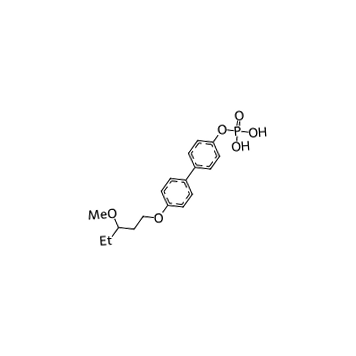 CCC(CCOc1ccc(-c2ccc(OP(=O)(O)O)cc2)cc1)OC